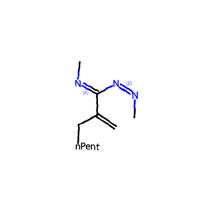 C=C(CCCCCC)C(/N=N\C)=N/C